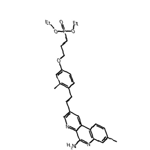 CCOP(=O)(CCCOc1ccc(CCc2cnc3c(N)nc4cc(C)ccc4c3c2)c(C)c1)OCC